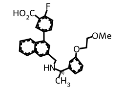 COCCOc1cccc([C@@H](C)NCc2cc(-c3ccc(F)c(C(=O)O)c3)c3ccccc3c2)c1